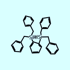 c1ccc(C[SiH](Cc2ccccc2)c2ccccc2[SiH](Cc2ccccc2)Cc2ccccc2)cc1